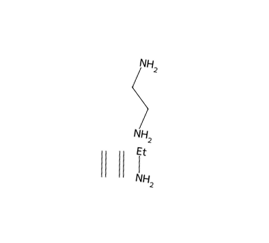 C=C.C=C.NCCN.[CH2]CN